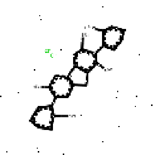 CCCc1ccccc1-c1cc2c(cc1C(C)(C)C)-c1cc(C(C)(C)C)c(-c3ccccc3CCC)[c]([Zr+2])c1C2.[Cl-].[Cl-]